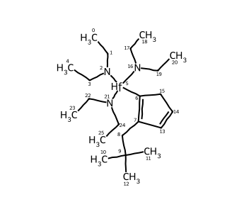 CC[N](CC)[Hf]([C]1=C(CC(C)(C)C)C=CC1)([N](CC)CC)[N](CC)CC